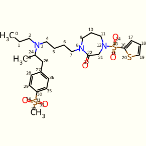 CCCN(CCCCN1CCCN(S(=O)(=O)c2cccs2)CC1=O)C(C)Cc1ccc(S(C)(=O)=O)cc1